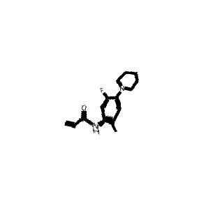 C=CC(=O)Nc1cc(F)c(N2CCCCC2)cc1C